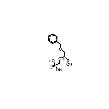 O=P(O)(O)CO[C@H](CO)COCc1ccccc1